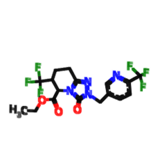 CCOC(=O)C1C(C(F)(F)F)CCc2nn(Cc3ccc(C(F)(F)F)nc3)c(=O)n21